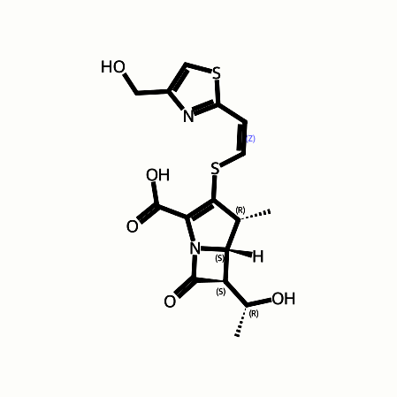 C[C@@H](O)[C@H]1C(=O)N2C(C(=O)O)=C(S/C=C\c3nc(CO)cs3)[C@H](C)[C@H]12